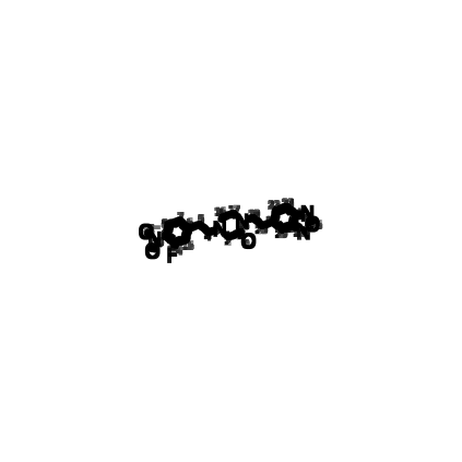 O=C1CN(CCc2ccc([N+](=O)[O-])c(F)c2)CCN1CCc1ccc2nonc2c1